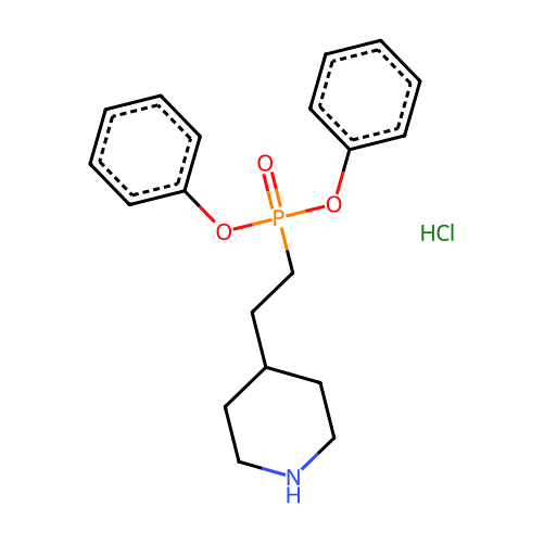 Cl.O=P(CCC1CCNCC1)(Oc1ccccc1)Oc1ccccc1